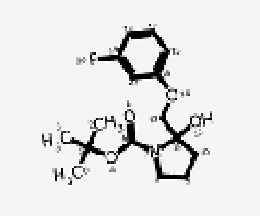 CC(C)(C)OC(=O)N1CCCC1(O)COc1cccc(F)c1